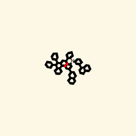 c1ccc(-c2c(-c3ccccc3)c3cc(-c4ccccc4N(c4cccc(-c5ccc6ccccc6c5)c4)c4cccc(-c5cccc6ccccc56)c4)ccc3c3ccccc23)cc1